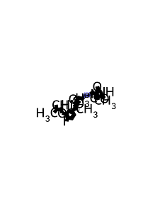 CC(C)COc1cc([C@@H](C)NS(=O)(=O)CC/C=C/CN2C(=O)NC(=O)C2(C)C)ccc1F